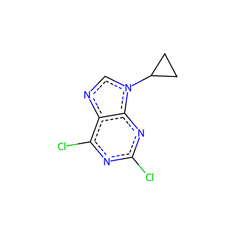 Clc1nc(Cl)c2ncn(C3CC3)c2n1